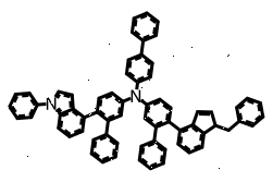 C1=CC(Cc2ccccc2)c2cccc(-c3ccc(N(c4ccc(-c5ccccc5)cc4)c4ccc(-c5cccc6c5ccn6-c5ccccc5)c(-c5ccccc5)c4)cc3-c3ccccc3)c21